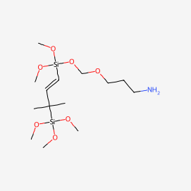 CO[Si](C=CC(C)(C)[Si](OC)(OC)OC)(OC)OCOCCCN